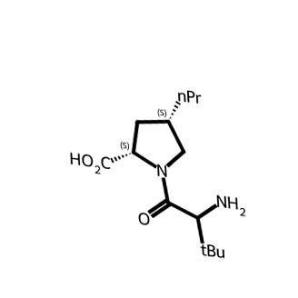 CCC[C@H]1C[C@@H](C(=O)O)N(C(=O)C(N)C(C)(C)C)C1